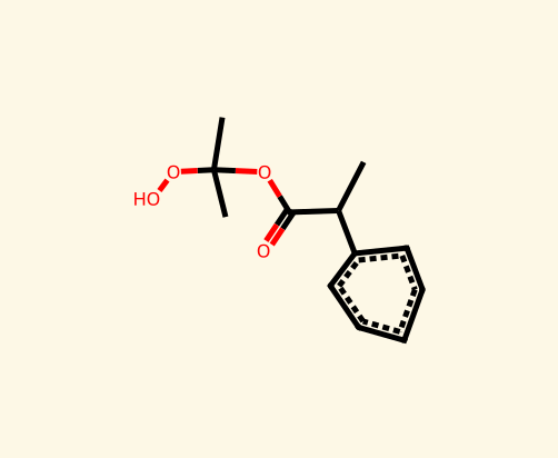 CC(C(=O)OC(C)(C)OO)c1ccccc1